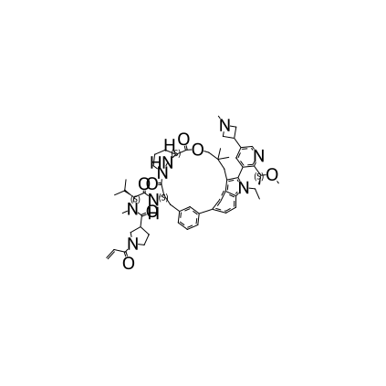 C=CC(=O)N1CCC(C(=O)N(C)[C@H](C(=O)N[C@H]2Cc3cccc(c3)-c3ccc4c(c3)c(c(-c3cc(C5CN(C)C5)cnc3[C@H](C)OC)n4CC)CC(C)(C)COC(=O)[C@@H]3CCCN(N3)C2=O)C(C)C)C1